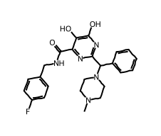 CN1CCN(C(c2ccccc2)c2nc(O)c(O)c(C(=O)NCc3ccc(F)cc3)n2)CC1